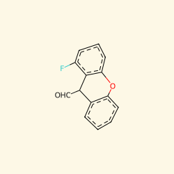 O=CC1c2ccccc2Oc2cccc(F)c21